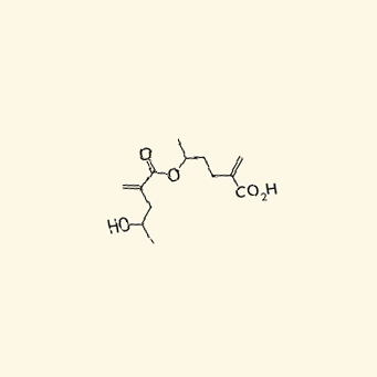 C=C(CCC(C)OC(=O)C(=C)CC(C)O)C(=O)O